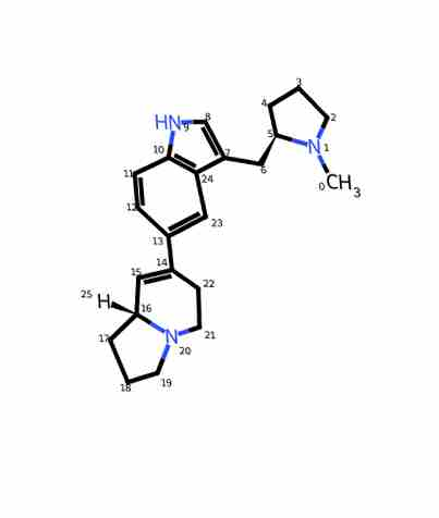 CN1CCC[C@@H]1Cc1c[nH]c2ccc(C3=C[C@H]4CCCN4CC3)cc12